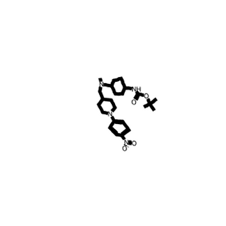 CN(CC1CCN(c2ccc([N+](=O)[O-])cc2)CC1)C1CCC(NC(=O)OC(C)(C)C)CC1